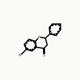 S=C1CC(c2ccccc2)Oc2ccc(Cl)cc21